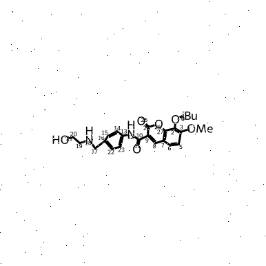 CCC(C)Oc1c(OC)ccc2cc(C(=O)Nc3ccc(CNCCO)cc3)c(=O)oc12